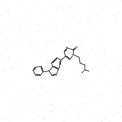 CN(C)CCCn1cc(-c2ccc3c(c2)ncn3-c2ccccc2)cnc1=O